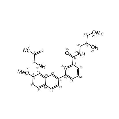 C=C(C#N)CNc1c(OC)ccc2ccc(-c3cccc(C(=O)NCC(O)COC)n3)cc12